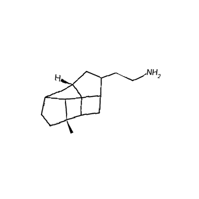 C[C@@]12CCC3C1C14C(CC12)C(CCN)C[C@@H]34